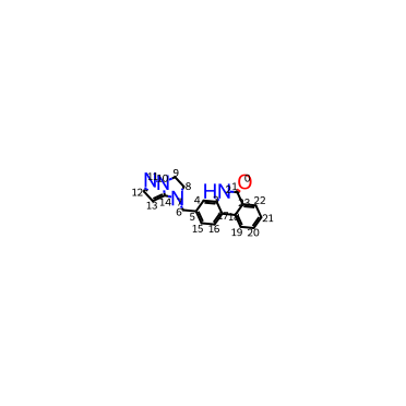 O=c1[nH]c2cc(CN3CCn4nccc43)ccc2c2ccccc12